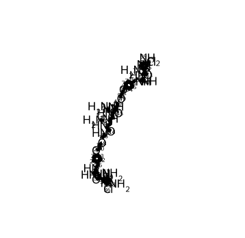 N=C(N)NC(CCCC(NC(=N)N)C(=O)NCCOCCOc1ccc(CNC(=N)NC(=O)c2nc(Cl)c(N)nc2N)cc1)C(=O)NCCOCCOc1ccc(CNC(=N)NC(=O)c2nc(Cl)c(N)nc2N)cc1